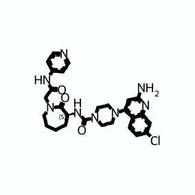 Nc1cc(N2CCN(C(=O)N[C@H]3CCCCN(CC(=O)Nc4ccncc4)C3=O)CC2)c2ccc(Cl)cc2n1